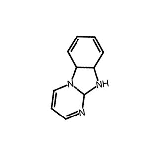 C1=CC2NC3N=CC=CN3C2C=C1